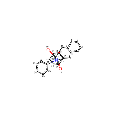 O=C1C2C3c4ccccc4C(c4ccccc43)C2C(=O)N1c1ccccc1